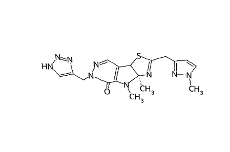 CN1c2c(cnn(Cc3c[nH]nn3)c2=O)C2SC(Cc3ccn(C)n3)=N[C@]21C